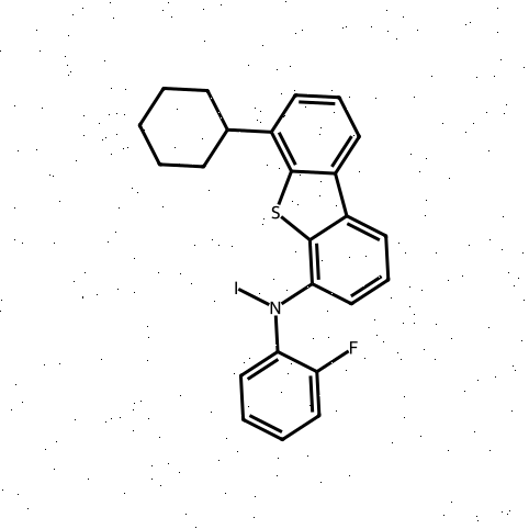 Fc1ccccc1N(I)c1cccc2c1sc1c(C3CCCCC3)cccc12